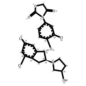 O=C1COC(=O)N1c1ccc(O[C@H]2c3cc(Cl)cc(Cl)c3C[C@@H]2N2CCC(O)C2)c(Cl)c1